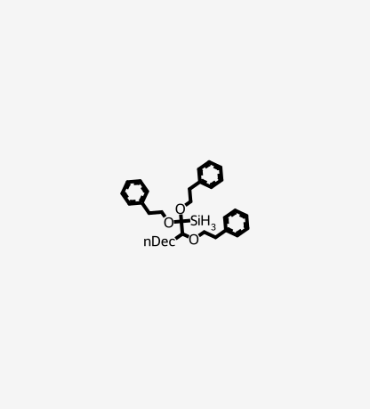 CCCCCCCCCCC(OCCc1ccccc1)C([SiH3])(OCCc1ccccc1)OCCc1ccccc1